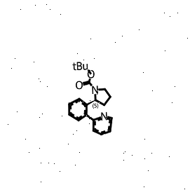 CC(C)(C)OC(=O)N1CCC[C@H]1c1ccccc1-c1ccccn1